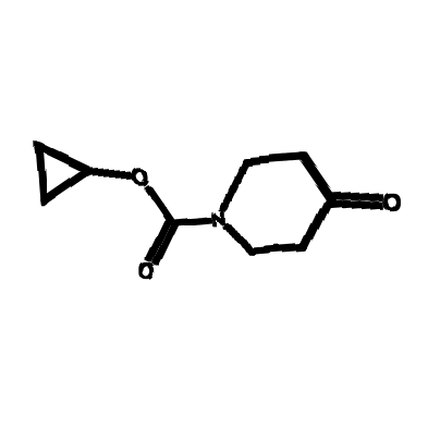 O=C1CCN(C(=O)OC2CC2)CC1